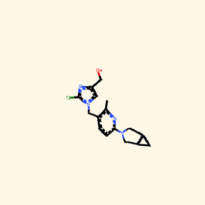 Cc1nc(N2CC3CC3C2)ccc1Cn1cc(CO)nc1Cl